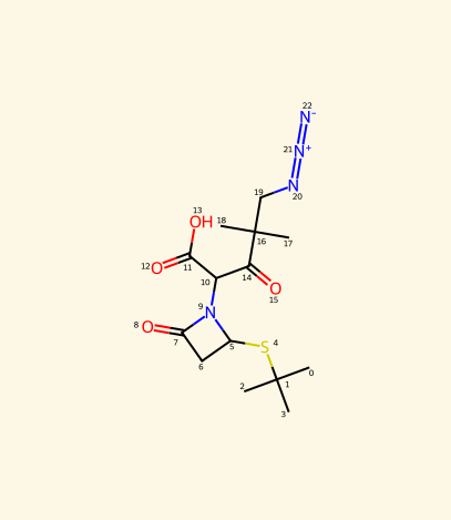 CC(C)(C)SC1CC(=O)N1C(C(=O)O)C(=O)C(C)(C)CN=[N+]=[N-]